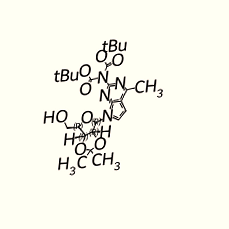 Cc1nc(N(C(=O)OC(C)(C)C)C(=O)OC(C)(C)C)nc2c1ccn2[C@@H]1O[C@H](CO)[C@H]2OC(C)(C)O[C@H]21